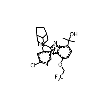 CC(C)(O)c1ccc(OCC(F)(F)F)c2nc(NC3C4CCC3CN(c3cc(Cl)ncc3F)C4)nn12